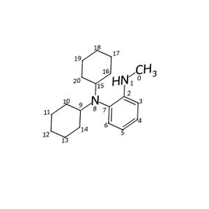 CNc1ccccc1N(C1CCCCC1)C1CCCCC1